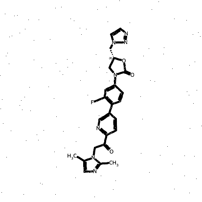 Cc1cnc(C)n1CC(=O)c1ccc(-c2ccc(N3C[C@H](Cn4ccnn4)OC3=O)cc2F)cn1